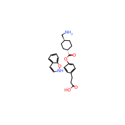 C1=Cc2ccccc2ON1.NC[C@H]1CC[C@H](C(=O)Oc2ccc(CCC(=O)O)cc2)CC1